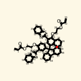 C=CC(=O)OCCOc1ccc(C2(c3cc(-c4nc5ccccc5s4)c(OCCOC(=O)C=C)c4ccccc34)c3ccccc3-c3ccccc32)cc1-c1nc2ccccc2s1